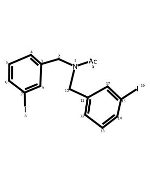 CC(=O)N(Cc1cccc(I)c1)Cc1cccc(I)c1